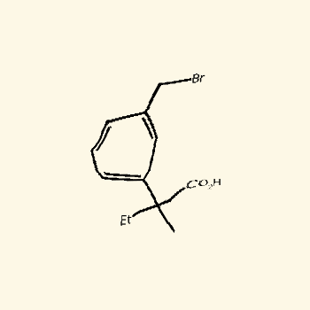 CCC(C)(C(=O)O)c1cccc(CBr)c1